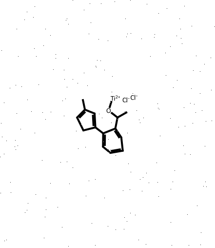 CC1=CCC(c2ccccc2C(C)[O][Ti+2])=C1.[Cl-].[Cl-]